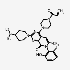 C=CC(=O)N1CCN(c2nc(N3CCC(N(CC)CC)CC3)nc3c(=O)n(-c4c(O)cccc4F)c(C(F)(F)F)cc23)CC1